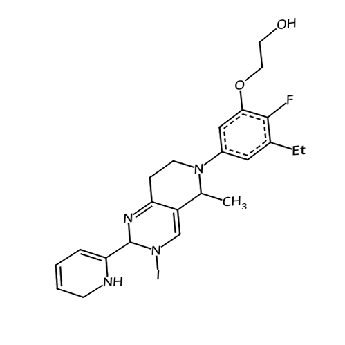 CCc1cc(N2CCC3=NC(C4=CC=CCN4)N(I)C=C3C2C)cc(OCCO)c1F